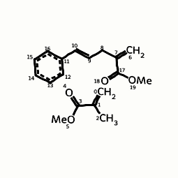 C=C(C)C(=O)OC.C=C(CC=Cc1ccccc1)C(=O)OC